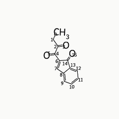 CCC(=O)C(=O)C1=Cc2ccccc2C1=O